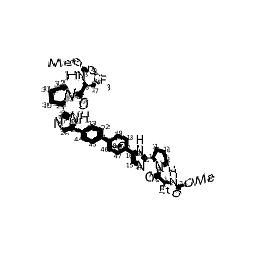 CC[C@H](NC(=O)OC)C(=O)N1CCC[C@H]1c1ncc(C23CCC(c4ccc(-c5cnc([C@@H]6CCCN6C(=O)[C@H](CC(F)(F)F)NC(=O)OC)[nH]5)cc4)(CC2)CC3)[nH]1